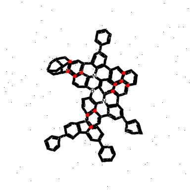 c1ccc(-c2cc(-c3ccccc3)c(N3c4cc(N5C6CC7CC(C6)CC5C7)ccc4B4c5ccc(-n6c7ccc(-c8ccccc8)cc7c7cc(-c8ccccc8)ccc76)cc5N(c5c(-c6ccccc6)cc(-c6ccccc6)cc5-c5ccccc5)c5cc(-c6ccccc6)cc3c54)c(-c3ccccc3)c2)cc1